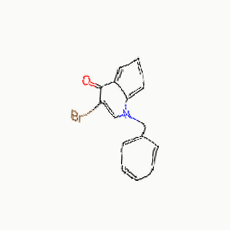 O=c1c(Br)cn(Cc2ccccc2)c2ccccc12